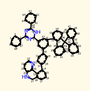 c1ccc(C2=NC(c3cc(-c4ccc(-c5cccc6c5-c5ncccc5NC6)cc4)cc(-c4cccc5c4-c4ccccc4C54c5ccccc5-c5ccccc54)c3)NC(c3ccccc3)=N2)cc1